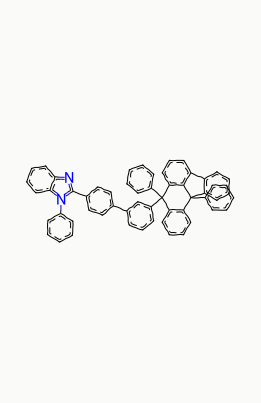 c1ccc(-n2c(-c3ccc(-c4cccc(C5(c6ccccc6)c6ccccc6C6(c7ccccc7)c7ccccc7-c7cccc5c76)c4)cc3)nc3ccccc32)cc1